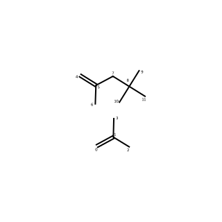 C=C(C)C.C=C(C)CC(C)(C)C